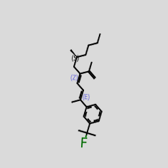 C=C(C)/C(=C\C=C(/C)c1cccc(C(C)(C)F)c1)C[C@@H](C)CCCC